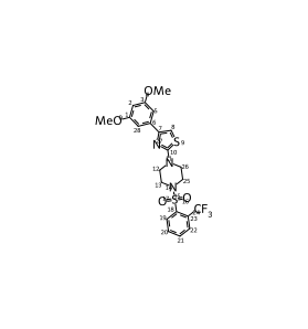 COc1cc(OC)cc(-c2csc(N3CCN(S(=O)(=O)c4ccccc4C(F)(F)F)CC3)n2)c1